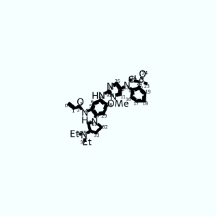 C=CC(=O)Nc1cc(Nc2ncc(N(Cl)c3ccccc3P(C)(C)=O)cn2)c(OC)cc1N1CCC(N(CC)CC)C1